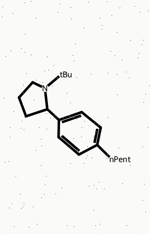 CCCCCc1ccc(C2CCCN2C(C)(C)C)cc1